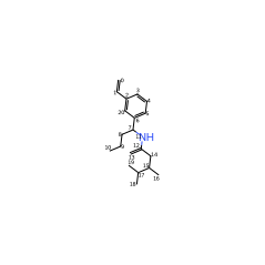 C=Cc1cccc(C(CCC)NC(=C)CC(C)C(C)C)c1